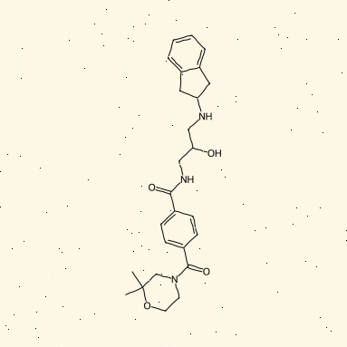 CC1(C)CN(C(=O)c2ccc(C(=O)NCC(O)CNC3Cc4ccccc4C3)cc2)CCO1